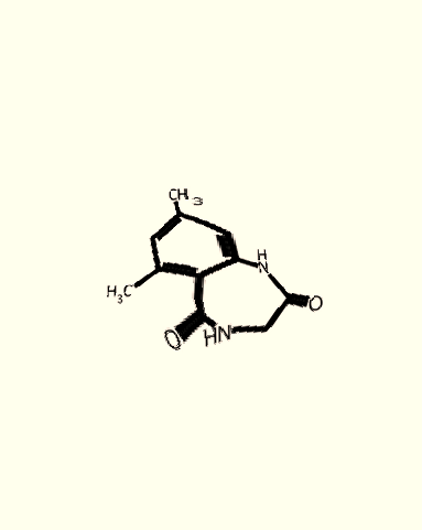 Cc1cc(C)c2c(c1)NC(=O)CNC2=O